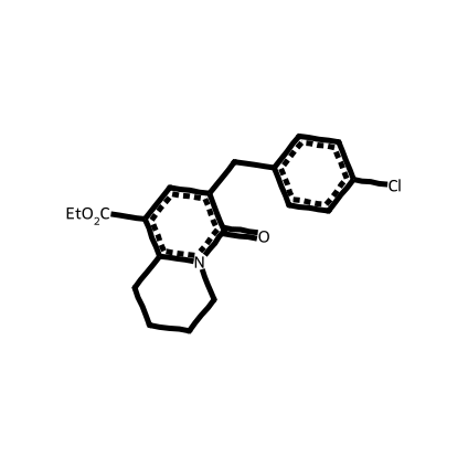 CCOC(=O)c1cc(Cc2ccc(Cl)cc2)c(=O)n2c1CCCC2